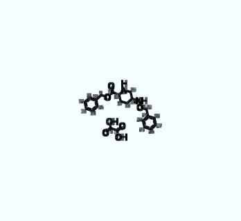 O=C(O)C(=O)O.O=C(OCc1ccccc1)[C@@H]1CCC(NOCc2ccccc2)CN1